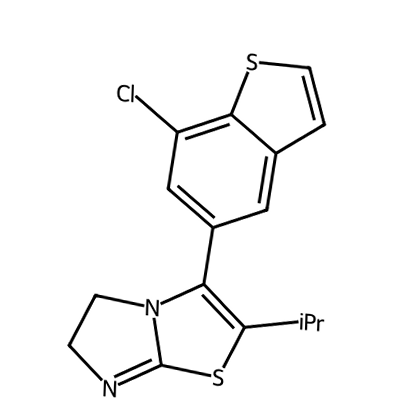 CC(C)C1=C(c2cc(Cl)c3sccc3c2)N2CCN=C2S1